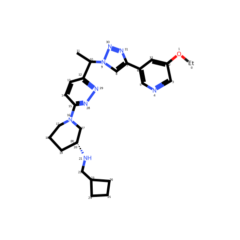 CCOc1cncc(-c2cn(C(C)c3ccc(N4CCC[C@@H](NCC5CCC5)C4)nn3)nn2)c1